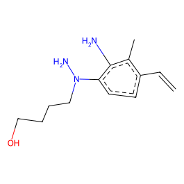 C=Cc1ccc(N(N)CCCCO)c(N)c1C